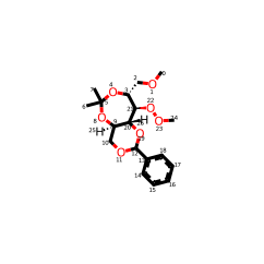 COC[C@H]1OC(C)(C)O[C@@H]2COC(c3ccccc3)O[C@H]2[C@@H]1OOC